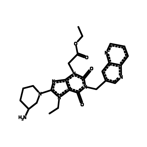 CCOC(=O)Cn1c(=O)n(Cc2cnc3cccnc3c2)c(=O)c2c1nc(N1CCCC(N)C1)n2CC